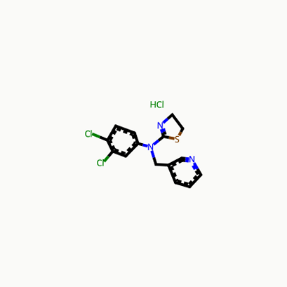 Cl.Clc1ccc(N(Cc2cccnc2)C2=NCCS2)cc1Cl